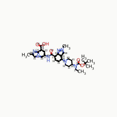 CCN(C(=O)OC(C)(C)C)C1CCN(c2ccc(C(=O)Nc3cc(C(=O)O)c4nc(C)cn4c3)c3nn(C)cc23)CC1